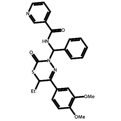 CCC1SC(=O)N(C(NC(=O)c2cccnc2)c2ccccc2)N=C1c1ccc(OC)c(OC)c1